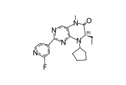 CC[C@@H]1C(=O)N(C)c2cnc(-c3ccnc(F)c3)nc2N1C1CCCC1